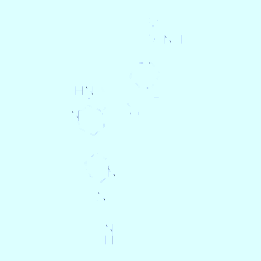 CC(Cc1ccc(F)c(C(=O)c2c[nH]c3ncc(-c4ccc(N5CCNCC5)nc4)cc23)c1F)S(N)(=O)=O